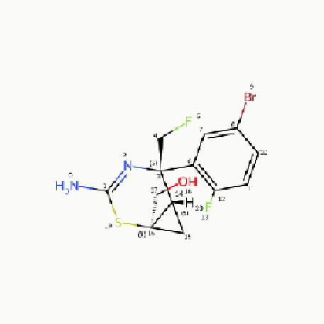 NC1=N[C@](CF)(c2cc(Br)ccc2F)[C@@H]2C[C@@]2(CO)S1